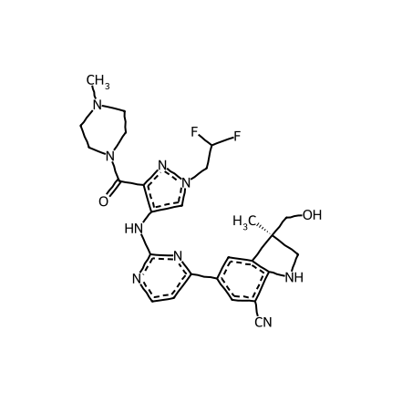 CN1CCN(C(=O)c2nn(CC(F)F)cc2Nc2nccc(-c3cc(C#N)c4c(c3)[C@@](C)(CO)CN4)n2)CC1